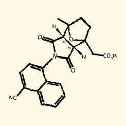 CC12CCC(CC(=O)O)(O1)[C@@H]1C(=O)N(c3ccc(C#N)c4ccccc34)C(=O)[C@@H]12